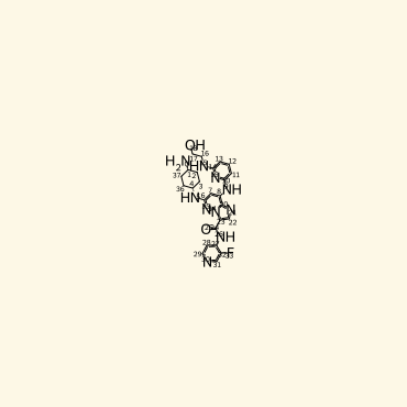 N[C@H]1CC[C@H](Nc2cc(Nc3cccc(NCCO)n3)c3ncc(C(=O)Nc4ccncc4F)n3n2)CC1